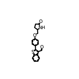 O=Cc1c(-c2ccc(OCC3CCC(=O)N3)cc2)sc2ccccc12